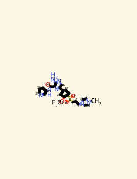 CN1CCN(C=CCS(=O)(=O)c2ccc(-c3cnc(N)c(C(=O)Nc4cccnc4)n3)cc2OC(F)(F)F)CC1